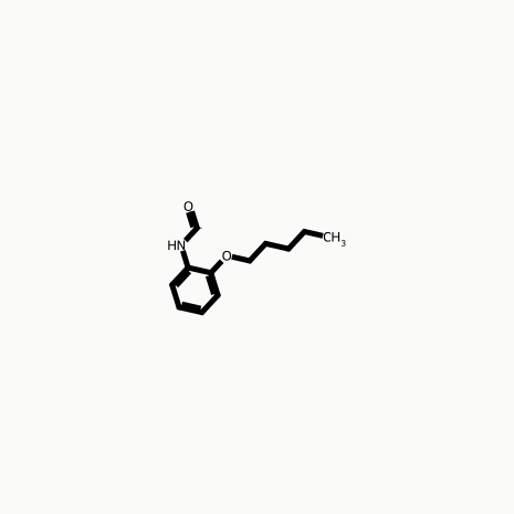 CCCCCOc1ccccc1N[C]=O